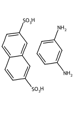 Nc1cccc(N)c1.O=S(=O)(O)c1ccc2ccc(S(=O)(=O)O)cc2c1